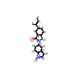 C/C=C(\C)c1ccc2c(c1)C(=O)N(c1ccc3c(ccn3C)c1)C2